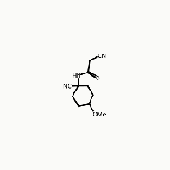 COC1CCC(C#N)(NC(=O)CC#N)CC1